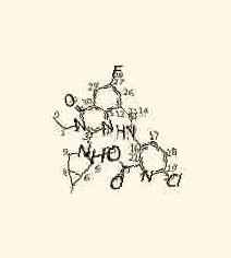 CCn1c(N2CC3CC3C2)nc2c([C@H](C)Nc3ccc(Cl)nc3C(=O)O)cc(F)cc2c1=O